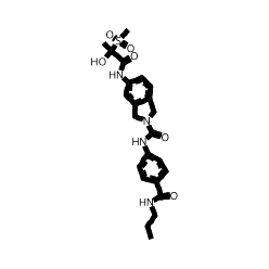 CCCNC(=O)c1ccc(NC(=O)N2Cc3ccc(NC(=O)C(C)(O)S(C)(=O)=O)cc3C2)cc1